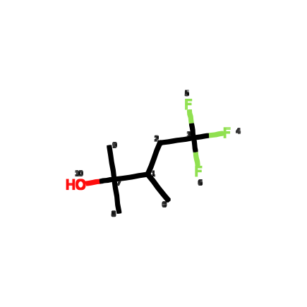 CC(CC(F)(F)F)C(C)(C)O